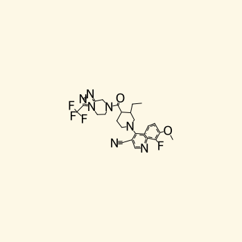 CCC1CN(c2c(C#N)cnc3c(F)c(OC)ccc23)CCC1C(=O)N1CCn2c(nnc2C(F)(F)F)C1